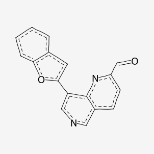 O=Cc1ccc2cncc(-c3cc4ccccc4o3)c2n1